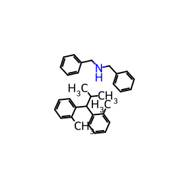 Cc1ccccc1C(c1ccccc1C)C(C)C.c1ccc(CNCc2ccccc2)cc1